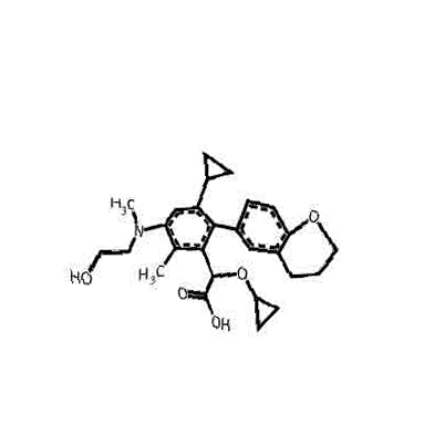 Cc1c(N(C)CCO)cc(C2CC2)c(-c2ccc3c(c2)CCCO3)c1C(OC1CC1)C(=O)O